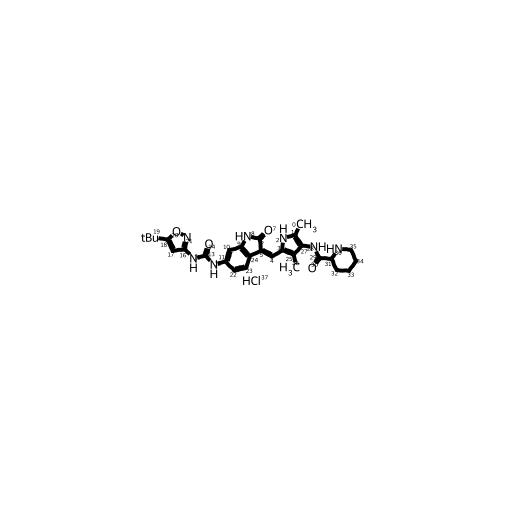 Cc1[nH]c(C=C2C(=O)Nc3cc(NC(=O)Nc4cc(C(C)(C)C)on4)ccc32)c(C)c1NC(=O)C1CCCCN1.Cl